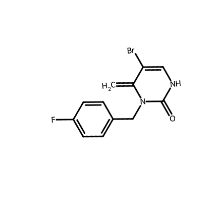 C=C1C(Br)=CNC(=O)N1Cc1ccc(F)cc1